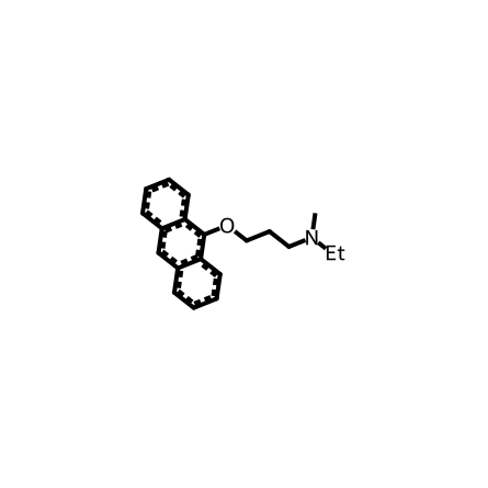 CCN(C)CCCOc1c2ccccc2cc2ccccc12